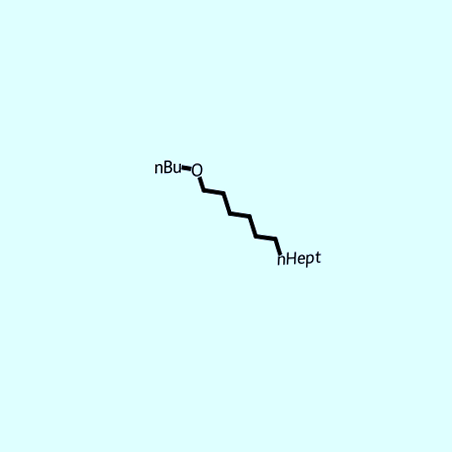 [CH2][CH]CCOCCCCCCCCCCCCC